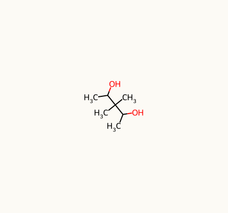 CC(O)C(C)(C)C(C)O